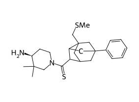 CSCC12CC3CC(c4ccccc4)(CC1C3C(=S)N1CC[C@H](N)C(C)(C)C1)C2